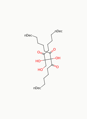 CCCCCCCCCCCCCCC(=O)C(O)(CO)C(O)(C(=O)CCCCCCCCCCCCCC)C(=O)CCCCCCCCCCCCCC